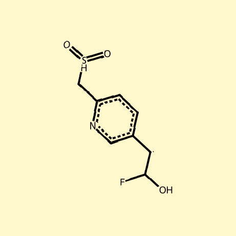 O=[SH](=O)Cc1ccc([CH]C(O)F)cn1